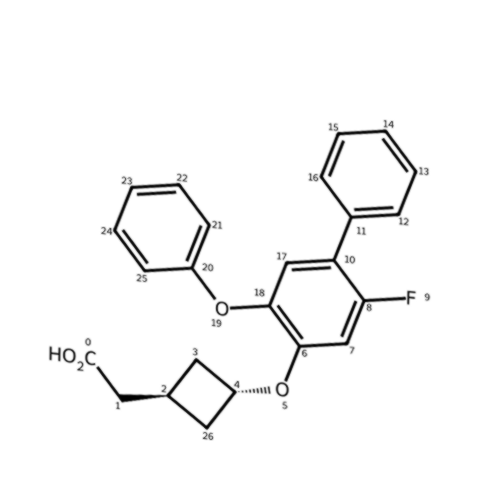 O=C(O)C[C@H]1C[C@H](Oc2cc(F)c(-c3ccccc3)cc2Oc2ccccc2)C1